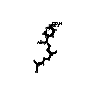 CC(=O)N(C/C=C(\C)CCC=C(C)C)c1ccc(C(=O)O)cc1